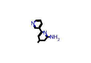 CC1C=C(c2cccnc2)N=C(N)C1